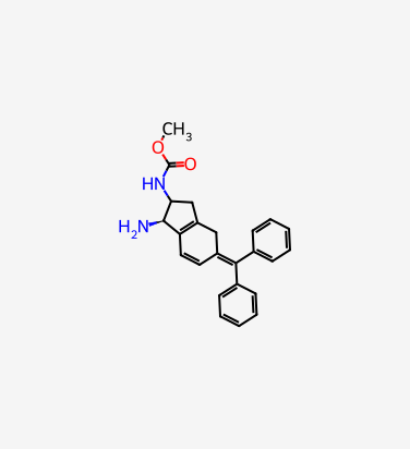 COC(=O)NC1CC2=C(C=CC(=C(c3ccccc3)c3ccccc3)C2)[C@H]1N